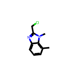 Cc1cccc2nc(CCl)n(C)c12